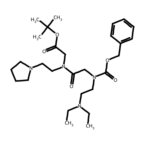 CCN(CC)CCN(CC(=O)N(CCN1CCCC1)CC(=O)OC(C)(C)C)C(=O)OCc1ccccc1